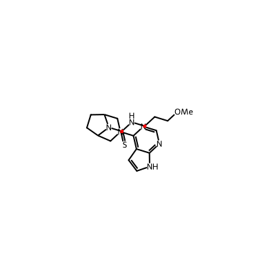 COCCCNC(=S)N1C2CCC1CN(c1ncnc3[nH]ccc13)C2